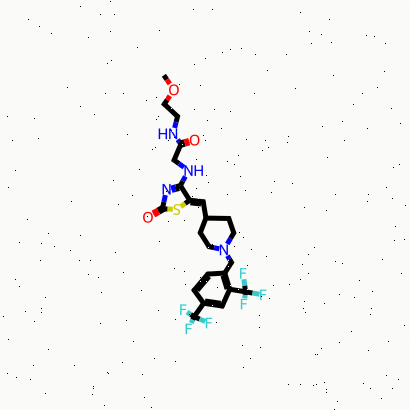 COCCNC(=O)CNC1=NC(=O)S/C1=C\C1CCN(Cc2ccc(C(F)(F)F)cc2C(F)(F)F)CC1